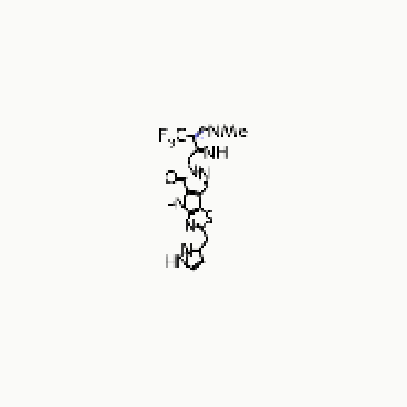 CN/C=C(\C(=N)Cn1ncc2c3sc(Cc4cc[nH]n4)nc3n(C)c2c1=O)C(F)(F)F